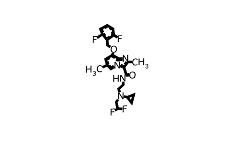 Cc1cc(OCc2c(F)cccc2F)c2nc(C)c(C(=O)NCCN(CC(F)F)C3CC3)n2c1